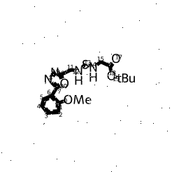 COc1ccccc1-c1nnc(CNSNCC(=O)OC(C)(C)C)o1